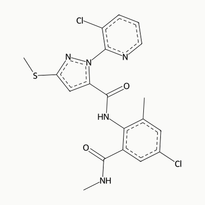 CNC(=O)c1cc(Cl)cc(C)c1NC(=O)c1cc(SC)nn1-c1ncccc1Cl